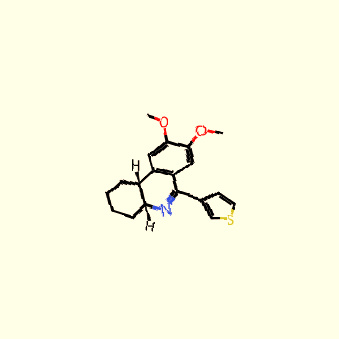 COc1cc2c(cc1OC)[C@H]1CCCC[C@H]1N=C2c1ccsc1